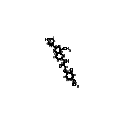 Cc1nc(N2CC3CC2CN3)nc2ccc(NC(=O)COc3ccc(OC(F)(F)F)cc3Cl)nc12